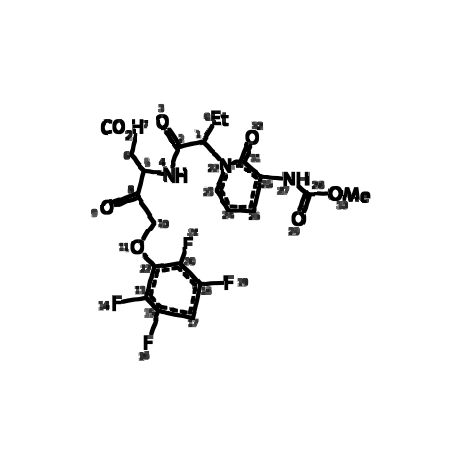 CCC(C(=O)NC(CC(=O)O)C(=O)COc1c(F)c(F)cc(F)c1F)n1cccc(NC(=O)OC)c1=O